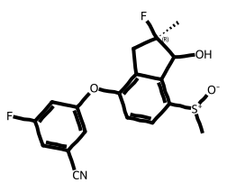 C[S+]([O-])c1ccc(Oc2cc(F)cc(C#N)c2)c2c1C(O)[C@](C)(F)C2